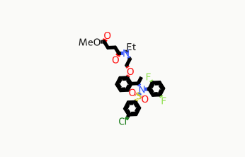 CCN(CCOc1ccccc1C(C)N(c1cc(F)ccc1F)S(=O)(=O)c1ccc(Cl)cc1)C(=O)CCC(=O)OC